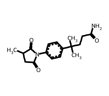 CC1CC(=O)N(c2ccc(C(C)(C)CCC(N)=O)cc2)C1=O